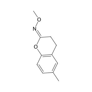 CON=C1CCc2cc(C)ccc2O1